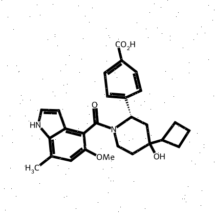 COc1cc(C)c2[nH]ccc2c1C(=O)N1CCC(O)(C2CCC2)C[C@H]1c1ccc(C(=O)O)cc1